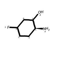 N[C@H]1CCC(F)CC1O